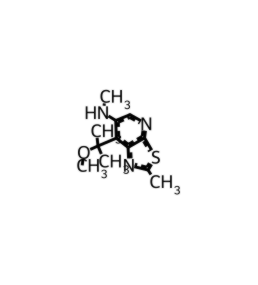 CNc1cnc2sc(C)nc2c1C(C)(C)OC